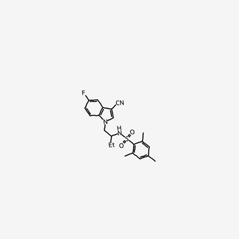 CCC(Cn1cc(C#N)c2cc(F)ccc21)NS(=O)(=O)c1c(C)cc(C)cc1C